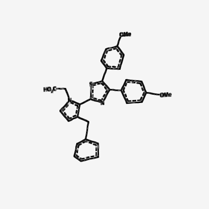 COc1ccc(-c2nc(-c3c(Cc4ccccc4)ccn3CC(=O)O)sc2-c2ccc(OC)cc2)cc1